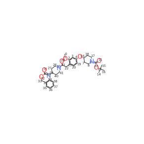 COc1cc(OC2CCN(C(=O)OC(C)(C)C)CC2)ccc1CC(=O)N1CCC(N2C(=O)OCc3ccccc32)CC1